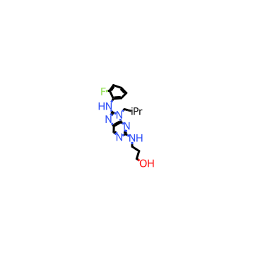 CC(C)Cn1c(Nc2ccccc2F)nc2cnc(NCCCO)nc21